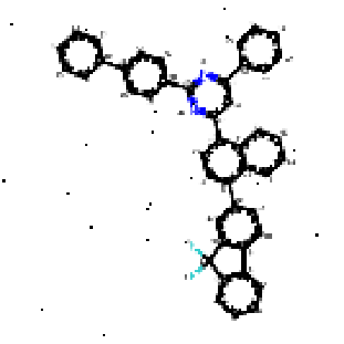 FC1(F)c2ccccc2-c2ccc(-c3ccc(-c4cc(-c5ccccc5)nc(-c5ccc(-c6ccccc6)cc5)n4)c4ccccc34)cc21